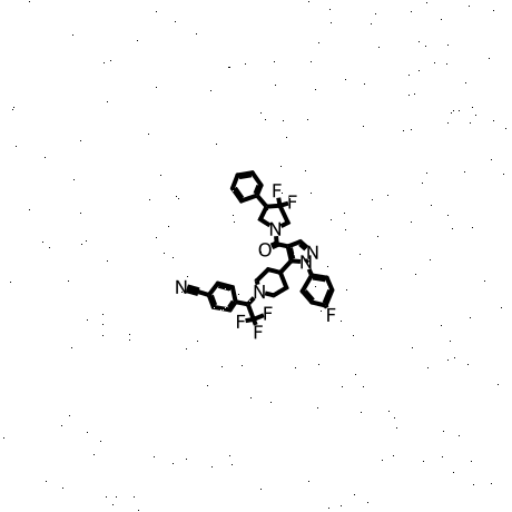 N#Cc1ccc(C(N2CCC(c3c(C(=O)N4CC(c5ccccc5)C(F)(F)C4)cnn3-c3ccc(F)cc3)CC2)C(F)(F)F)cc1